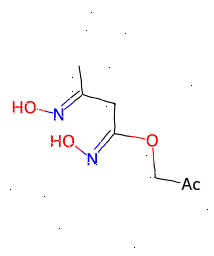 CC(=O)COC(CC(C)=NO)=NO